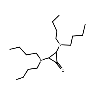 CCCCN(CCCC)C1C(=O)C1N(CCCC)CCCC